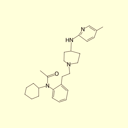 CC(=O)N(c1ccccc1CCN1CCC(Nc2ccc(C)cn2)CC1)C1CCCCC1